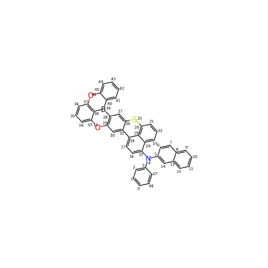 c1ccc(N(c2ccc3ccccc3c2)c2ccc3c4c(cccc24)Sc2cc4c(cc2-3)Oc2cccc3c2B4c2ccccc2O3)cc1